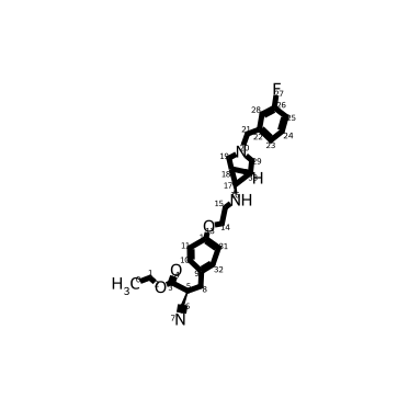 CCOC(=O)[C@H](C#N)Cc1ccc(OCCN[C@H]2C3CN(Cc4cccc(F)c4)C[C@@H]32)cc1